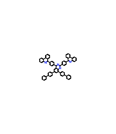 c1ccc(-c2ccc(-c3cc(-c4ccc(-c5ccccc5)cc4)c4nc(-c5ccc(-c6nc7ccccc7c7ccccc67)cc5)nc(-c5ccc(-c6nc7ccccc7c7ccccc67)cc5)c4c3)cc2)cc1